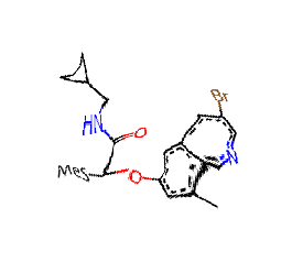 CSC(Oc1cc(C)c2ncc(Br)cc2c1)C(=O)NCC1CC1